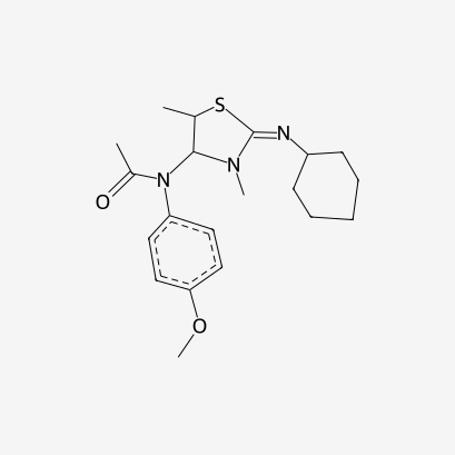 COc1ccc(N(C(C)=O)C2C(C)SC(=NC3CCCCC3)N2C)cc1